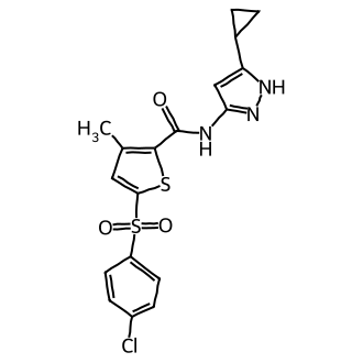 Cc1cc(S(=O)(=O)c2ccc(Cl)cc2)sc1C(=O)Nc1cc(C2CC2)[nH]n1